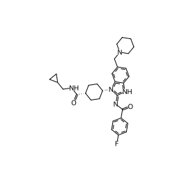 O=C(N=c1[nH]c2ccc(CN3CCCCC3)cc2n1[C@H]1CC[C@@H](C(=O)NCC2CC2)CC1)c1ccc(F)cc1